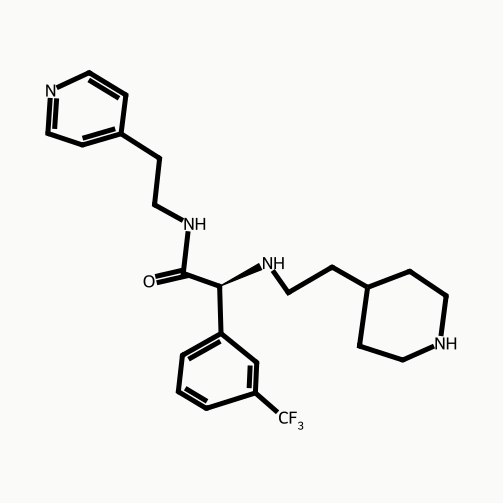 O=C(NCCc1ccncc1)[C@@H](NCCC1CCNCC1)c1cccc(C(F)(F)F)c1